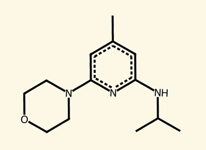 Cc1cc(NC(C)C)nc(N2CCOCC2)c1